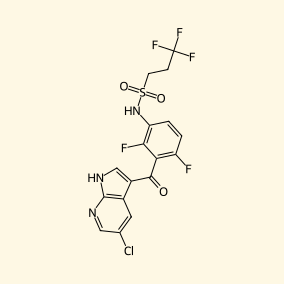 O=C(c1c(F)ccc(NS(=O)(=O)CCC(F)(F)F)c1F)c1c[nH]c2ncc(Cl)cc12